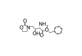 N[C@H](C(=O)OCc1ccccc1)[C@@H](O)CN1CCOC1=O